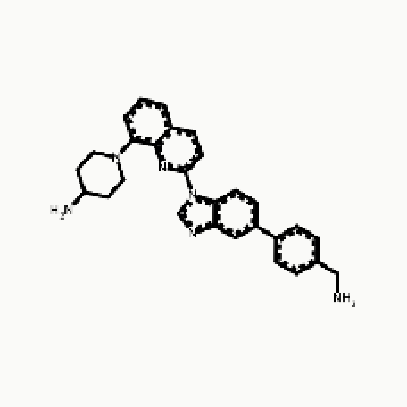 NCc1ccc(-c2ccc3c(c2)ncn3-c2ccc3cccc(N4CCC(N)CC4)c3n2)cc1